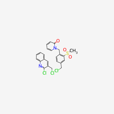 CS(=O)(=O)c1cc(CCl)ccc1Cn1ccccc1=O.ClCc1cc2ccccc2nc1Cl